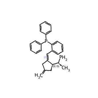 C=C1C/C(=C/c2ccccc2P(c2ccccc2)c2ccccc2)[C@@H]([C@H](C)P)C1